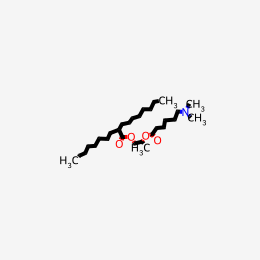 CCCCCCCCC(CCCCCCCC)C(=O)OCC(C)OC(=O)CCCCCN(C)C